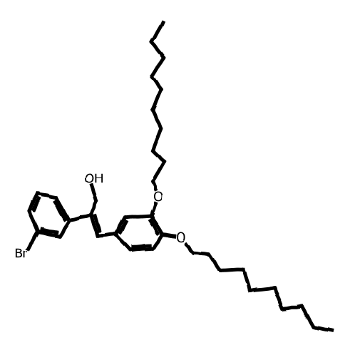 CCCCCCCCCCOc1ccc(/C=C(\CO)c2cccc(Br)c2)cc1OCCCCCCCCCC